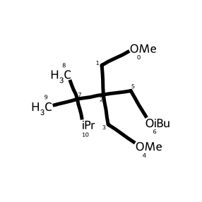 COCC(COC)(COCC(C)C)C(C)(C)C(C)C